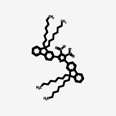 CCCCCCCCC1(CCCCCCCC)c2ccccc2-c2ccc(-c3sc(-c4ccc5c(c4)C(CCCCCCCC)(CCCCCCCC)c4ccccc4-5)c([N+](=O)[O-])c3[N+](=O)[O-])cc21